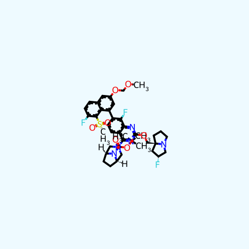 COCOc1cc(-c2ccc3c(N4C[C@H]5CC[C@@H](C4)N5C(=O)OC(C)(C)C)nc(OC[C@@]45CCCN4C[C@H](F)C5)nc3c2F)c2c(S(C)(=O)=O)c(F)ccc2c1